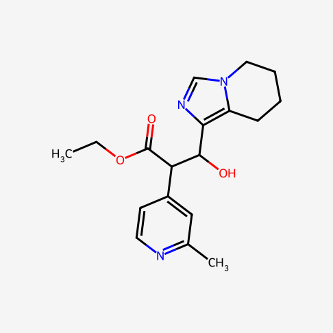 CCOC(=O)C(c1ccnc(C)c1)C(O)c1ncn2c1CCCC2